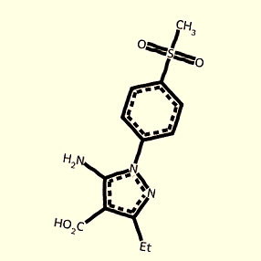 CCc1nn(-c2ccc(S(C)(=O)=O)cc2)c(N)c1C(=O)O